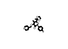 Cc1c(C2(C)OCCO2)nn(-c2ccc(F)cc2)c(=O)c1OCc1ccncc1